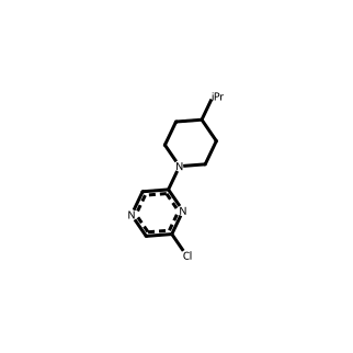 CC(C)C1CCN(c2cncc(Cl)n2)CC1